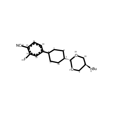 CCCC[C@H]1CO[C@H](C2CCC(c3ccc(C#N)c(F)c3)CC2)OC1